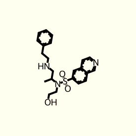 CC(CNCCc1ccccc1)N(CCO)S(=O)(=O)c1ccc2cnccc2c1